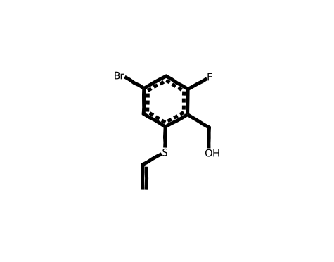 C=CSc1cc(Br)cc(F)c1CO